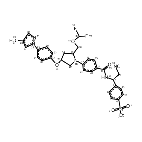 CCS(=O)(=O)c1ccc([C@H](CC#N)NC(=O)c2ccc(N3C[C@@H](Oc4ccc(-n5cc(C)cn5)cc4)CC3COC(F)F)cc2)cc1